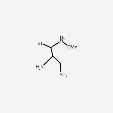 CCC([SiH2]OC)C(N)CN